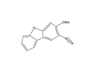 COc1cc2oc3ccccc3c2cc1[N+]#N